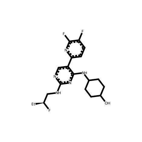 CC[C@H](F)CNc1ncc(-c2ccc(F)c(F)n2)c(NC2CCC(O)CC2)n1